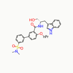 CCCOc1ccc(-c2cccc(S(=O)(=O)N(C)C)c2)cc1C(=O)N[C@H](CO)Cc1c[nH]c2ccccc12